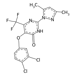 Cc1cc(C)n(-c2nc(C(F)(F)F)c(Oc3ccc(Cl)c(Cl)c3)c(=O)[nH]2)n1